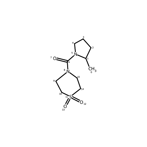 CC1CCCN1C(=O)N1CCS(=O)(=O)CC1